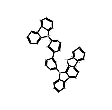 c1cc(-c2cccc(-n3c4ccccc4c4ccc5c6ccccc6sc5c43)c2)cc(-n2c3ccccc3c3ccccc32)c1